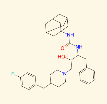 O=C(NC(Cc1ccccc1)C(O)CN1CCC(Cc2ccc(F)cc2)CC1)NC12CC3CC(CC(C3)C1)C2